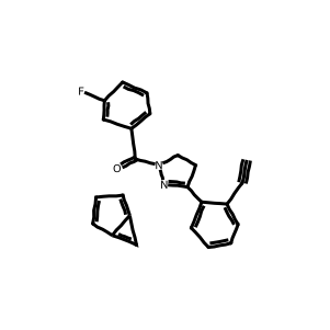 C#Cc1ccccc1C1=NN(C(=O)c2cccc(F)c2)CC1.c1cc2cc-2c1